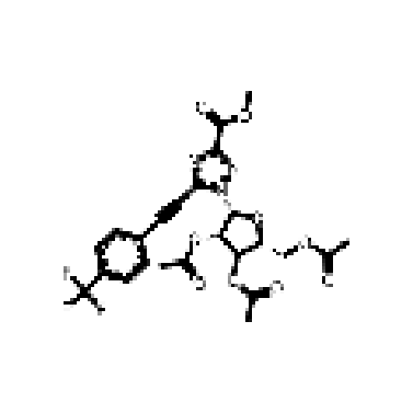 COC(=O)c1nc(C#Cc2ccc(C(F)(F)F)cc2)n([C@@H]2O[C@H](COC(C)=O)C(OC(C)=O)[C@@H]2OC(C)=O)n1